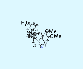 COc1cc(/C=C\c2ccc(NS(=O)(=O)c3cccc(C(F)(F)F)c3)cc2)cc(OC)c1OC